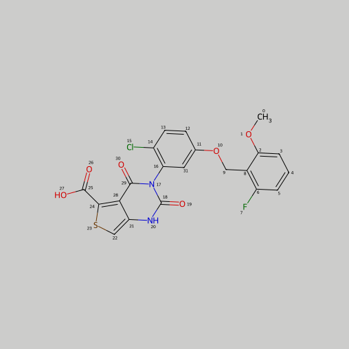 COc1cccc(F)c1COc1ccc(Cl)c(-n2c(=O)[nH]c3csc(C(=O)O)c3c2=O)c1